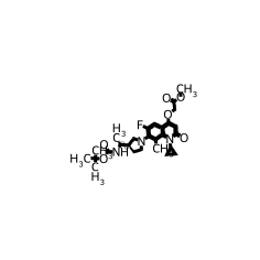 COC(=O)COc1cc(=O)n(C2CC2)c2c(C)c(N3CC[C@@H]([C@H](C)NC(=O)OC(C)(C)C)C3)c(F)cc12